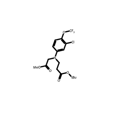 COC(=O)CN(CCC(=O)OC(C)(C)C)c1ccc(OC(F)(F)F)c(Cl)c1